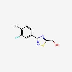 OCc1nc(-c2ccc(C(F)(F)F)c(F)c2)ns1